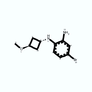 CO[C@H]1C[C@H](Nc2ccc(Br)cc2N)C1